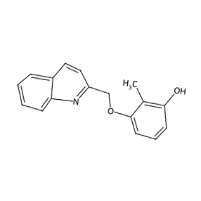 Cc1c(O)cccc1OCc1ccc2ccccc2n1